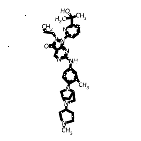 C=CCn1c(=O)c2cnc(Nc3ccc(N4CC5CC4CN5C4CCN(C)CC4)c(C)c3)nc2n1-c1cccc(C(C)(C)O)n1